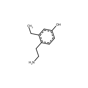 CCc1cc(O)ccc1CCN